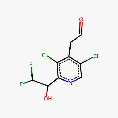 O=CCc1c(Cl)cnc(C(O)C(F)F)c1Cl